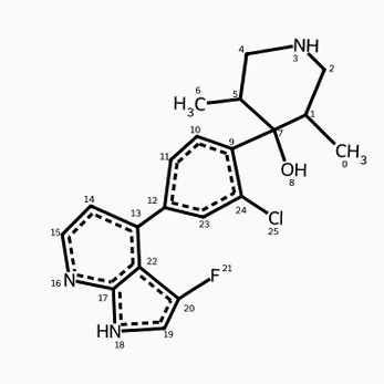 CC1CNCC(C)C1(O)c1ccc(-c2ccnc3[nH]cc(F)c23)cc1Cl